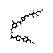 COCc1cnc(N2CCC(C3C[C@H]3COCc3ccc(CC(=O)N4CC(CNC[C@H](O)[C@@H](O)[C@H](O)[C@H](O)CO)C4)c(F)c3)CC2)nc1